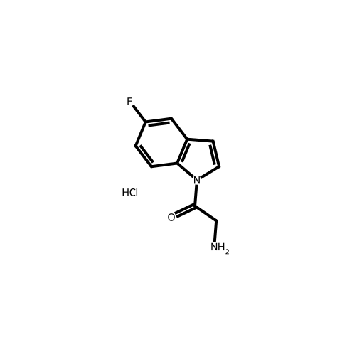 Cl.NCC(=O)n1ccc2cc(F)ccc21